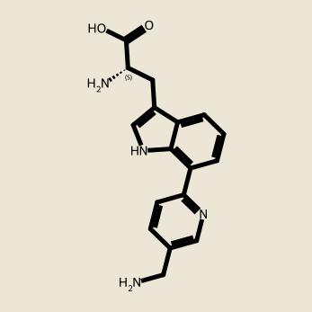 NCc1ccc(-c2cccc3c(C[C@H](N)C(=O)O)c[nH]c23)nc1